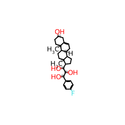 C[C@]12CCC3[C@@H](CC=C4C[C@@H](O)CC[C@@]43C)C1CCC2[C@H](O)[C@@H](O)[C@H](O)c1ccc(F)cc1